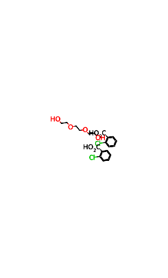 O=C(O)c1ccccc1Cl.O=C(O)c1ccccc1Cl.OCCOCCOCCO